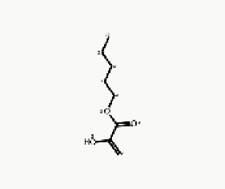 C=C(O)C(=O)OCCCCC